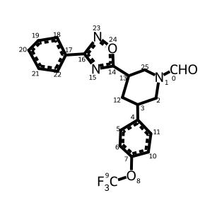 O=CN1CC(c2ccc(OC(F)(F)F)cc2)CC(c2nc(-c3ccccc3)no2)C1